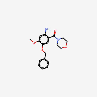 COc1cc(N)c(C(=O)N2CCOCC2)cc1OCc1ccccc1